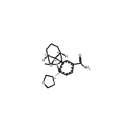 CO[C@]1(c2cccc(C(N)=O)c2)[C@@H]2CCC[C@H]1CN(C[C@@H]1CCOC1)C2